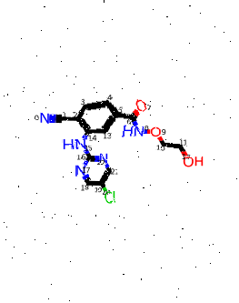 N#Cc1ccc(C(=O)NOCCO)cc1Nc1ncc(Cl)cn1